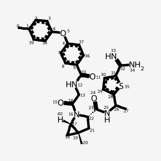 Cc1ccc(Oc2ccc(C(=O)NCC(=O)N3[C@H]4C[C@@]4(C)C[C@H]3C(=O)NC(C)c3ccc(C(=N)N)s3)cc2)cc1